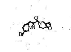 O=C(c1cc2ccc(Br)cn2n1)N1CCc2occc2C1